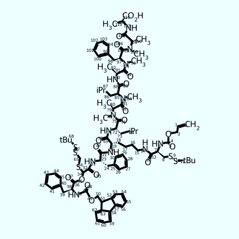 C=CCOC(=O)N[C@@H](CSSC(C)(C)C)C(=O)NCCCC[C@H](NC(=O)[C@H](Cc1ccccc1)NC(=O)C(OC(=O)[C@H](Cc1ccccc1)NC(=O)OCC1c2ccccc2-c2ccccc21)SCSSC(C)(C)C)C(=O)N[C@@H](CC(C)C)C(=O)N(C)[C@@H](C)C(=O)N(C)C(CC(C)C)C(=O)N[C@@H](C)C(=O)N(C)[C@@H](Cc1ccccc1)C(=O)N(C)[C@@H](C)C(=O)N[C@@H](C)C(=O)O